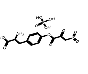 NC(Cc1ccc(OC(=O)C(=O)CP(=O)=O)cc1)C(=O)O.O=P(O)(O)O